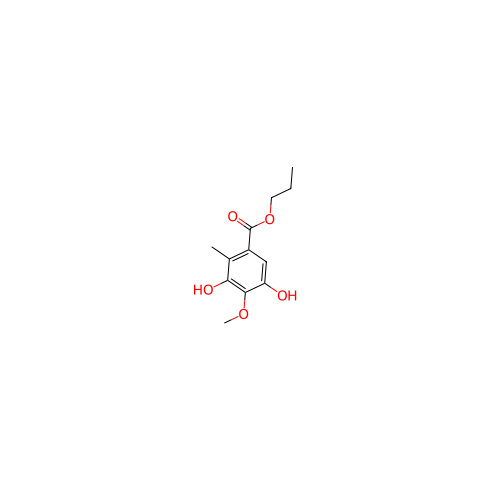 CCCOC(=O)c1cc(O)c(OC)c(O)c1C